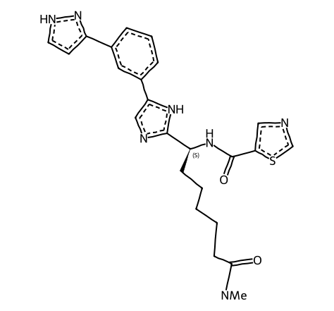 CNC(=O)CCCCC[C@H](NC(=O)c1cncs1)c1ncc(-c2cccc(-c3cc[nH]n3)c2)[nH]1